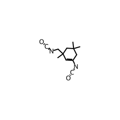 CC1(C)CC(N=C=O)=CC(C)(CN=C=O)C1